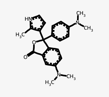 Cc1[nH]ccc1C1(c2ccc(N(C)C)cc2)OC(=O)c2cc(N(C)C)ccc21